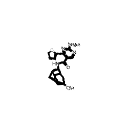 CNc1ncc(C(=O)NC2C3CC4CC2CC(O)(C4)C3)c(C2CCCO2)n1